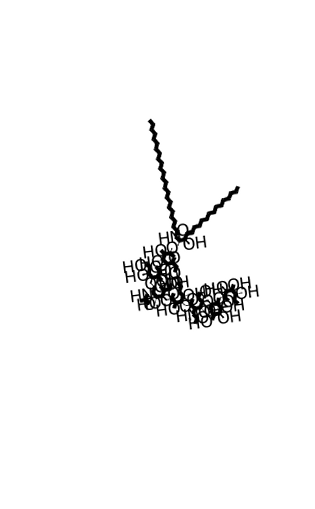 CCCCCCCCCCCCC/C=C/[C@@H](O)[C@H](CO[C@@H]1OC(CO)[C@@H](O[C@@H]2OC(CO)[C@H](O)[C@H](O[C@@H]3OC(CO)[C@@H](O[C@@H]4OC(CO)[C@H](O)[C@H](O[C@@H]5OC(CO)[C@@H](O[C@@H]6OC(CO)[C@H](O)[C@H](O)C6O[C@H]6OC(C)[C@@H](O)C(O)[C@@H]6O)[C@H](O)C5NC(C)=O)C4O)[C@H](O)C3NC(C)=O)C2O)[C@H](O)C1O)NC(=O)CCCCCCCCCCCCCCCCCCCCCCC